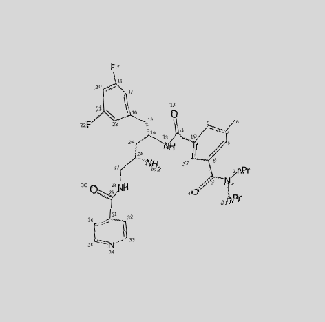 CCCN(CCC)C(=O)c1cc(C)cc(C(=O)N[C@@H](Cc2cc(F)cc(F)c2)C[C@H](N)CNC(=O)c2ccncc2)c1